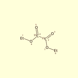 CCO[13C](=O)[13C](=O)OCC